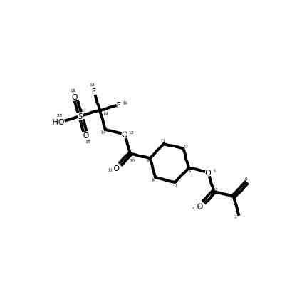 C=C(C)C(=O)OC1CCC(C(=O)OCC(F)(F)S(=O)(=O)O)CC1